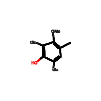 COc1c(C)cc(C(C)(C)C)c(O)c1C(C)(C)C